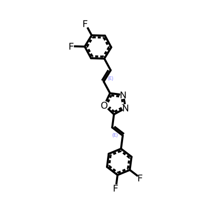 Fc1ccc(/C=C/c2nnc(/C=C/c3ccc(F)c(F)c3)o2)cc1F